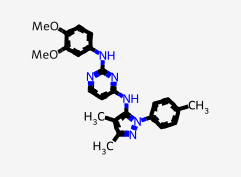 COc1ccc(Nc2nccc(Nc3c(C)c(C)nn3-c3ccc(C)cc3)n2)cc1OC